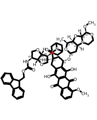 COc1cccc2c1C(=O)c1c(O)c3c(c(O)c1C2=O)C[C@@](O)(C(=O)N1C2CC1CN([C@H]1CO[C@H]4[C@@H]1OC[C@@H]4NC(=O)OCC1c4ccccc4-c4ccccc41)C2)C[C@@H]3O[C@H]1C[C@H]2[C@H](O[C@@H]3[C@@H](OC)OCCN32)[C@H](C)O1